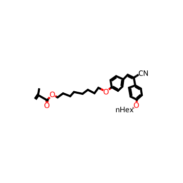 C=C(C)C(=O)OCCCCCCCCOc1ccc(C=C(C#N)c2ccc(OCCCCCC)cc2)cc1